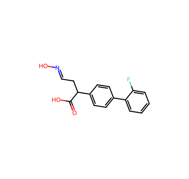 O=C(O)C(CC=NO)c1ccc(-c2ccccc2F)cc1